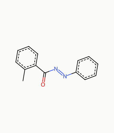 Cc1ccccc1C(=O)N=Nc1ccccc1